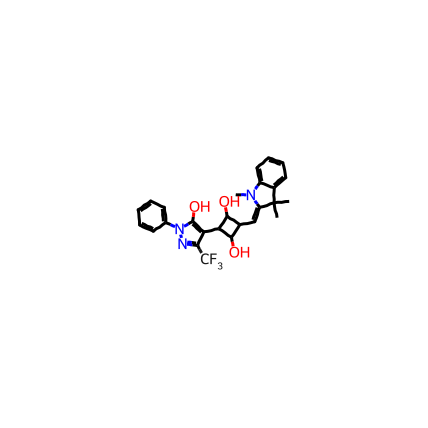 CN1C(=CC2C(O)C(c3c(C(F)(F)F)nn(-c4ccccc4)c3O)C2O)C(C)(C)c2ccccc21